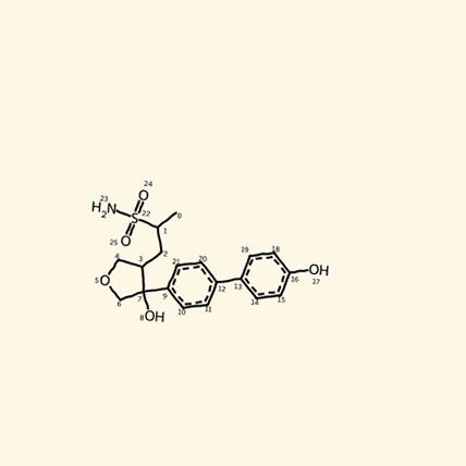 CC(CC1COCC1(O)c1ccc(-c2ccc(O)cc2)cc1)S(N)(=O)=O